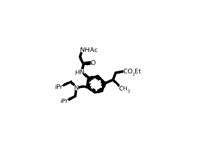 CCOC(=O)CC(C)c1ccc(N(CC(C)C)CC(C)C)c(NC(=O)CNC(C)=O)c1